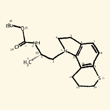 C[C@@H](CN1CCc2ccc3c(c21)CCCS3)NC(=O)OC(C)(C)C